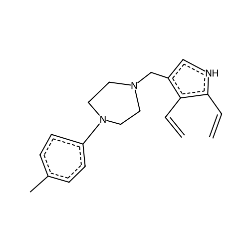 C=Cc1[nH]cc(CN2CCN(c3ccc(C)cc3)CC2)c1C=C